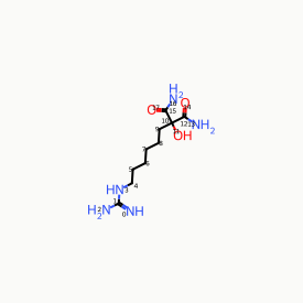 N=C(N)NCCCCCCC(O)(C(N)=O)C(N)=O